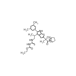 CCOC(=O)NC(=S)NC[C@@H](C)c1c(-c2cc(C)cc(C)c2)[nH]c2sc(C(C)(C)C(=O)N3C4CCC3CC4)cc12